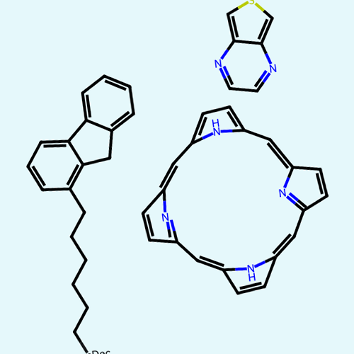 C1=Cc2cc3ccc(cc4nc(cc5ccc(cc1n2)[nH]5)C=C4)[nH]3.CCCCCCCCCCCCCCCCc1cccc2c1Cc1ccccc1-2.c1cnc2cscc2n1